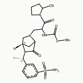 C[C@@H](c1cccc(S(N)(=O)=O)c1)N1C(=O)C2C[C@H]1CN2CC(NC(=O)OC(C)(C)C)C(=O)N1CCCC1C#N